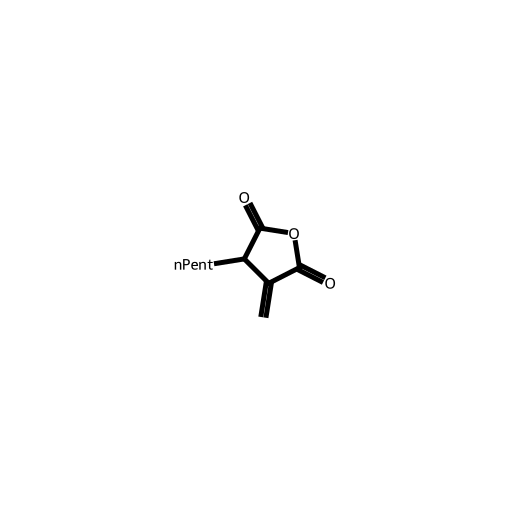 C=C1C(=O)OC(=O)C1CCCCC